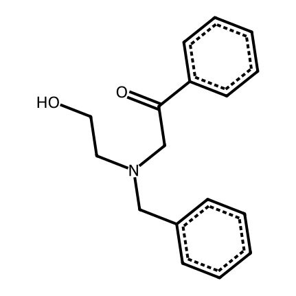 O=C(CN(CCO)Cc1ccccc1)c1ccccc1